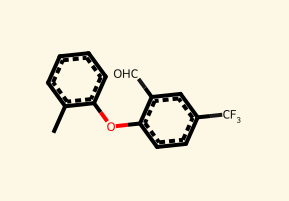 Cc1ccccc1Oc1ccc(C(F)(F)F)cc1C=O